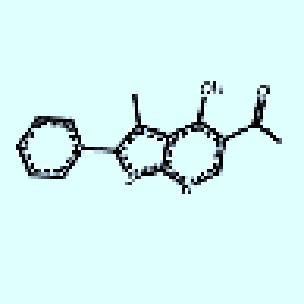 CC(=O)c1cnc2sc(-c3ccccc3)c(C)c2c1O